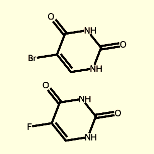 O=c1[nH]cc(Br)c(=O)[nH]1.O=c1[nH]cc(F)c(=O)[nH]1